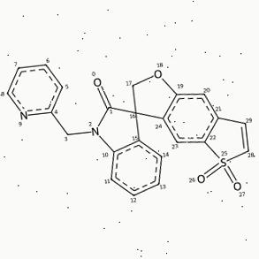 O=C1N(Cc2ccccn2)c2ccccc2C12COc1cc3c(cc12)S(=O)(=O)C=C3